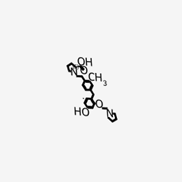 Cc1cc(Cc2[c]cc(O)cc2OCCN2CCCC2)ccc1CCN1CCC[C@H]1C(=O)O